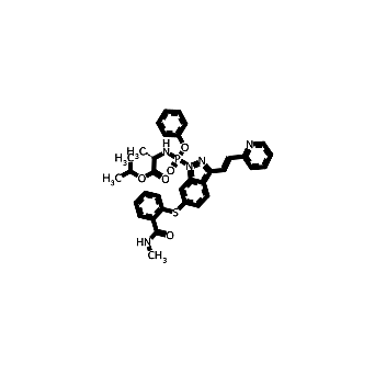 CNC(=O)c1ccccc1Sc1ccc2c(/C=C/c3ccccn3)nn(P(=O)(N[C@@H](C)C(=O)OC(C)C)Oc3ccccc3)c2c1